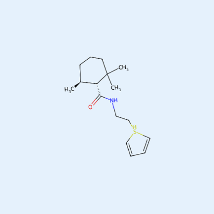 C[C@H]1CCCC(C)(C)[C@@H]1C(=O)NCC[SH]1C=CC=C1